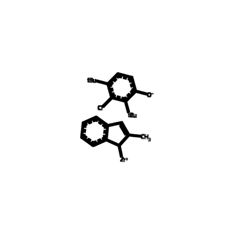 CC(C)(C)c1ccc([O-])c(C(C)(C)C)c1Cl.CC1=Cc2ccccc2[CH]1[Zr+]